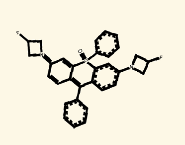 O=P1(c2ccccc2)C2=CC(=[N+]3CC(F)C3)C=CC2=C(c2ccccc2)c2ccc(N3CC(F)C3)cc21